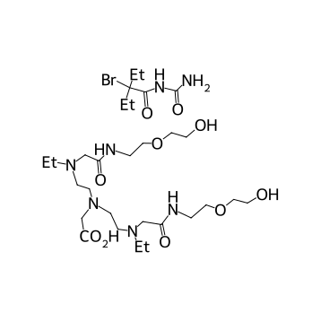 CCC(Br)(CC)C(=O)NC(N)=O.CCN(CCN(CCN(CC)CC(=O)NCCOCCO)CC(=O)O)CC(=O)NCCOCCO